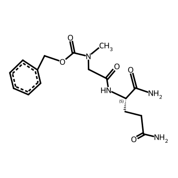 CN(CC(=O)N[C@@H](CCC(N)=O)C(N)=O)C(=O)OCc1ccccc1